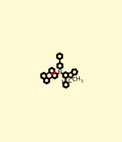 CC1(C)c2ccccc2-c2cc(N(c3ccc(-c4ccccc4)cc3)c3ccc(-c4cccc5cccc(-c6ccccc6)c45)cc3)cc(-c3ccccc3)c21